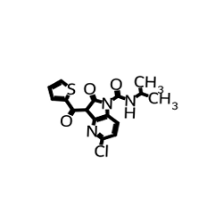 CC(C)NC(=O)N1C(=O)C(C(=O)c2cccs2)c2nc(Cl)ccc21